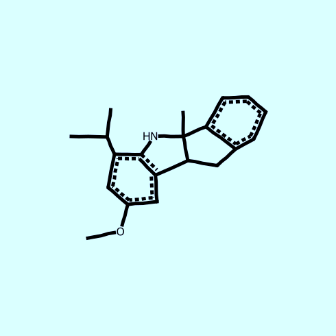 COc1cc(C(C)C)c2c(c1)C1Cc3ccccc3C1(C)N2